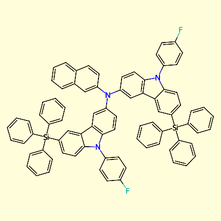 Fc1ccc(-n2c3ccc(N(c4ccc5ccccc5c4)c4ccc5c(c4)c4cc([Si](c6ccccc6)(c6ccccc6)c6ccccc6)ccc4n5-c4ccc(F)cc4)cc3c3cc([Si](c4ccccc4)(c4ccccc4)c4ccccc4)ccc32)cc1